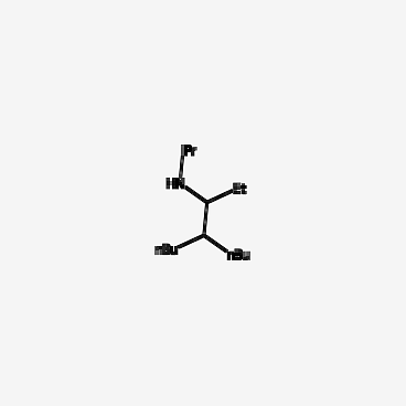 CCCCC(CCCC)C(CC)NC(C)C